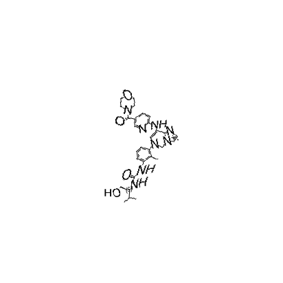 Cc1c(NC(=O)N[C@H](CO)C(C)C)cccc1N1C=C(Nc2ccc(C(=O)N3CCOCC3)cn2)C2=NC=C[N+]2C1